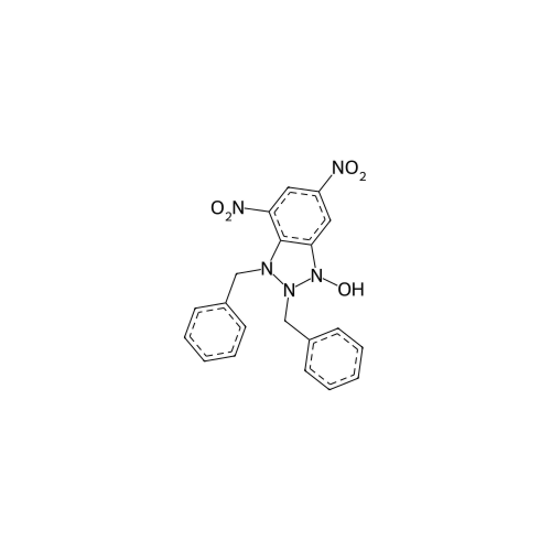 O=[N+]([O-])c1cc2c(c([N+](=O)[O-])c1)N(Cc1ccccc1)N(Cc1ccccc1)N2O